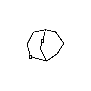 C1CC2CCOC(C1)CO2